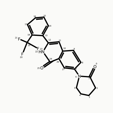 O=C1CCCCN1c1ccc2cc(-c3ccccc3C(F)(F)F)[nH]c(=O)c2c1